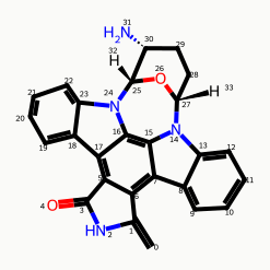 C=C1NC(=O)c2c1c1c3ccccc3n3c1c1c2c2ccccc2n1[C@H]1O[C@@H]3CC[C@H]1N